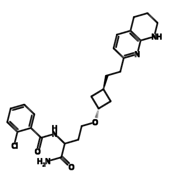 NC(=O)C(CCO[C@H]1C[C@H](CCc2ccc3c(n2)NCCC3)C1)NC(=O)c1ccccc1Cl